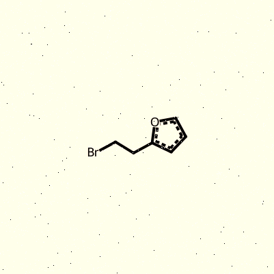 BrCCc1ccco1